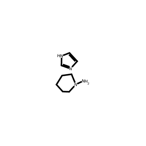 NN1CCCCC1.c1c[nH]cn1